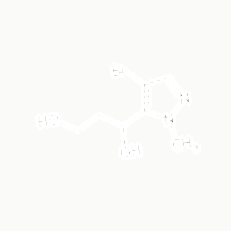 Cn1ncc(Br)c1C(O)CCO